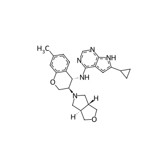 Cc1ccc2c(c1)OC[C@H](N1C[C@@H]3COC[C@H]3C1)[C@H]2Nc1ncnc2[nH]c(C3CC3)cc12